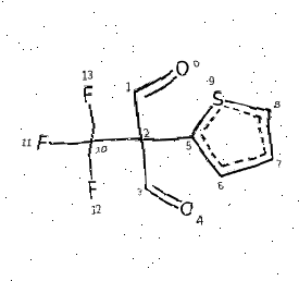 O=CC(C=O)(c1cccs1)C(F)(F)F